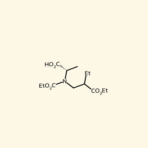 CCOC(=O)C(CC)CN(C(=O)OCC)[C@@H](C)C(=O)O